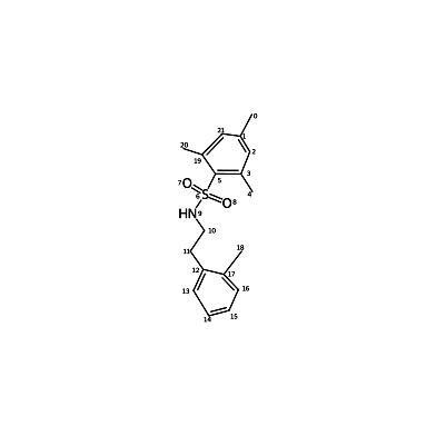 Cc1cc(C)c(S(=O)(=O)NCCc2ccccc2C)c(C)c1